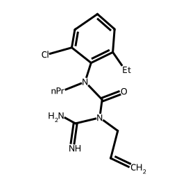 C=CCN(C(=N)N)C(=O)N(CCC)c1c(Cl)cccc1CC